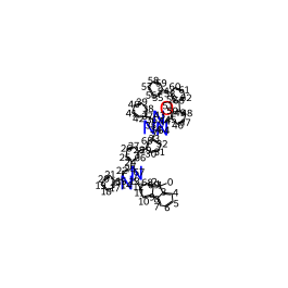 CC1(C)c2ccccc2-c2ccc(-c3nc(-c4ccccc4)cc(-c4cccc(-c5cccc(-c6nc(-c7ccccc7)nc(-c7cccc8c7oc7c(-c9ccccc9)cccc78)n6)c5)c4)n3)cc21